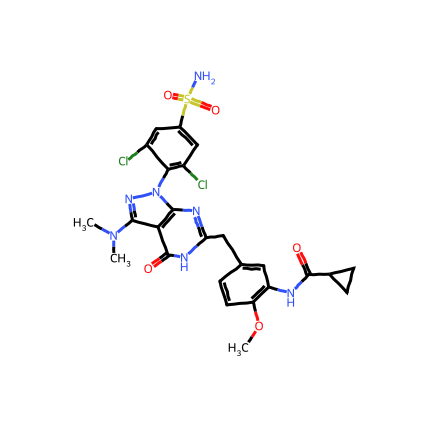 COc1ccc(Cc2nc3c(c(N(C)C)nn3-c3c(Cl)cc(S(N)(=O)=O)cc3Cl)c(=O)[nH]2)cc1NC(=O)C1CC1